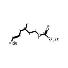 CCCCC=CCC(C)CCOC(=O)C(=O)OCC